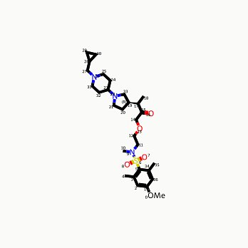 COc1cc(C)c(S(=O)(=O)N(C)CCOCC(=O)C(C)[C@H]2CCN(C3CCN(CC4CC4)CC3)C2)c(C)c1